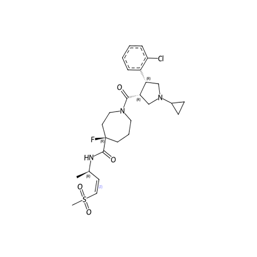 C[C@H](/C=C\S(C)(=O)=O)NC(=O)[C@@]1(F)CCCN(C(=O)[C@H]2CN(C3CC3)C[C@H]2c2ccccc2Cl)CC1